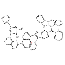 Fc1cc(-c2ccccc2)cc(-c2ccccc2)c1N(c1ccc2c(c1)c1ccccc1c1c3ccc(N(c4ccccc4-c4ccccc4)c4cccc5c4oc4ccccc45)cc3sc21)c1ccccc1-c1ccccc1